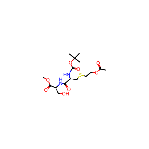 COC(=O)[C@H](CO)NC(=O)[C@H](CSCCOC(C)=O)NC(=O)OC(C)(C)C